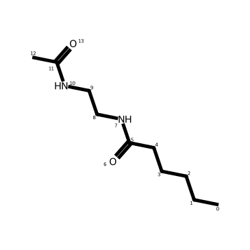 CCCCCC(=O)NCCNC(C)=O